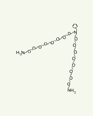 NCCOCCOCCOCCOCCOCCOCCOCCOCCN(CCOCCOCCOCCOCCOCCOCCOCCOCCN)Cc1ccccc1